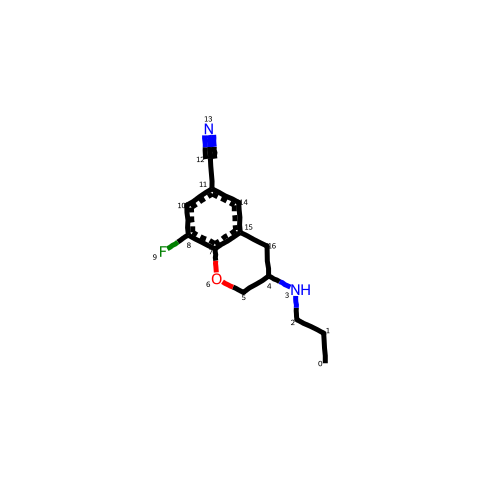 CCCNC1COc2c(F)cc(C#N)cc2C1